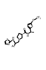 CC(=O)C(CN1CC[C@@H](C(=O)N[C@H](C)c2ccc(OCC(F)(F)F)s2)C1)Nc1nccs1